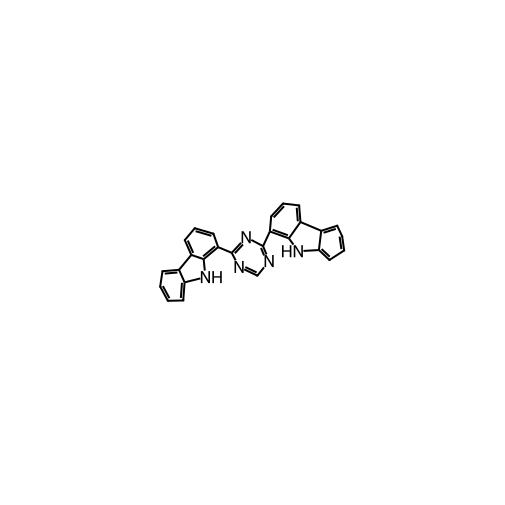 c1ccc2c(c1)[nH]c1c(-c3ncnc(-c4cccc5c4[nH]c4ccccc45)n3)cccc12